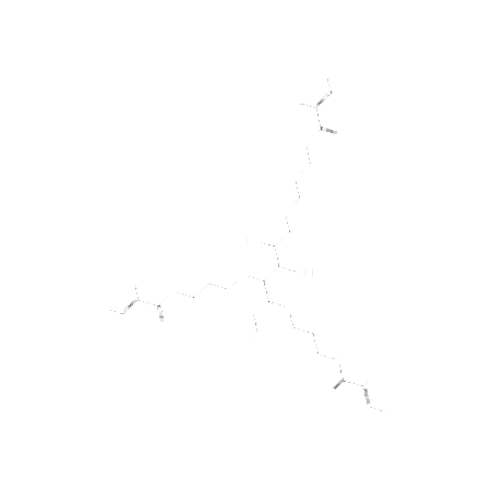 CC=C(O)C(=O)OCCCOCC(O)C(O)C(OCCCOC(=O)C(O)=CC)C(CO)OCCCOC(=O)C(O)=CC